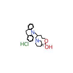 CCCC(CN1CCC[C@@H](C(=O)O)C1)CN1c2ccccc2CCc2ccccc21.Cl